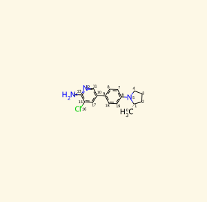 C[C@H]1CCCN1c1ccc(-c2cnc(N)c(Cl)c2)cc1